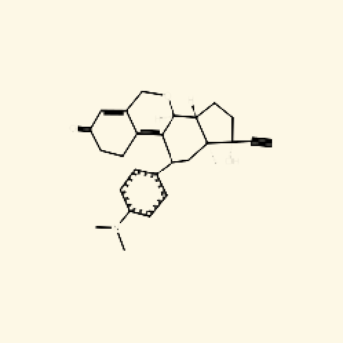 C#C[C@]1(O)CC[C@H]2[C@@H]3OCC4=CC(=O)CCC4=C3C(c3ccc(N(C)C)cc3)C[C@@]21C